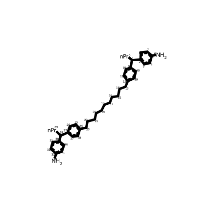 CCCC(c1ccc(N)cc1)c1ccc(CCCCCCCCCCCc2ccc(C(CCC)c3ccc(N)cc3)cc2)cc1